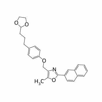 Cc1oc(-c2ccc3ccccc3c2)nc1COc1ccc(CCCC2OCCO2)cc1